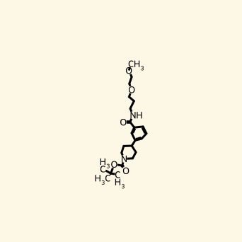 COCCOCCCNC(=O)c1cccc(C2CCN(C(=O)OC(C)(C)C)CC2)c1